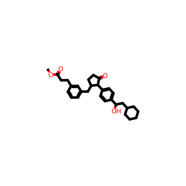 COC(=O)CCc1cccc(CC2CCC(=O)C2c2ccc(C(O)CC3CCCCC3)cc2)c1